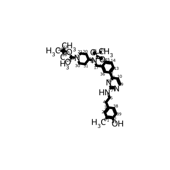 Cc1cc(CCNc2nccc(-c3cccc(CN(C4CCN(C(=O)OC(C)(C)C)CC4)S(C)(=O)=O)c3)n2)ccc1O